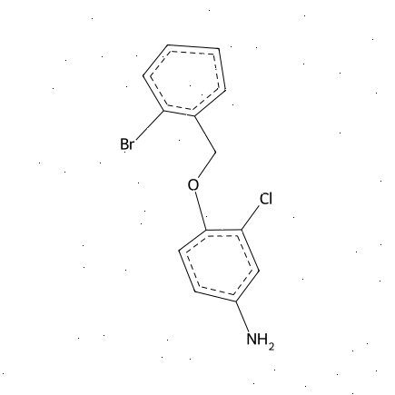 Nc1ccc(OCc2ccccc2Br)c(Cl)c1